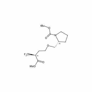 COC(=O)[C@H](CCOC[C@H]1CCCN1C(=O)OC(C)(C)C)NC(F)(F)F